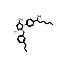 CCCCCC(O)c1ccc([C@@H]2[C@@H](Cc3cccc(CCC)c3)[C@H](Cl)C[C@H]2O)cc1